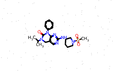 CC(C)N1Cc2cnc(NC3CCCN(S(C)(=O)=O)C3)nc2N(c2ccccc2)C1=O